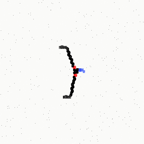 CCCCCCCCCCCCCCCCCCCCOCC(C)(CN)COCCCCCCCCCCCCCCCCCCCC